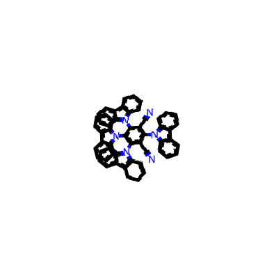 N#Cc1c(-n2c3c(c4ccccc42)CCC=C3)c(-n2c3ccccc3c3ccccc32)c(-n2c3ccccc3c3ccccc32)c(C#N)c1-n1c2ccccc2c2ccccc21